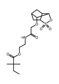 CCC(C)(C)C(=O)OCCNC(=O)COC1C2CC3C1OS(=O)(=O)C3C2